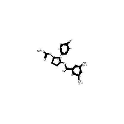 COC(=O)O[C@@H]1CC[C@H](O[C@H](C)c2cc(C(F)(F)F)cc(C(F)(F)F)c2)[C@H]1c1ccc(F)cc1